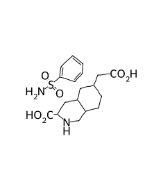 NS(=O)(=O)c1ccccc1.O=C(O)CC1CCC2CNC(C(=O)O)CC2C1